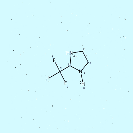 [2H]N1CCNC1C(F)(F)F